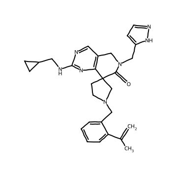 C=C(C)c1ccccc1CN1CCC2(C1)C(=O)N(Cc1ccn[nH]1)Cc1cnc(NCC3CC3)nc12